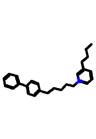 CCCCc1ccc[n+](CCCCCc2ccc(-c3ccccc3)cc2)c1